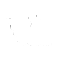 CCCCCCC[CH2][Zn][CH2]CCCCCCC.OP(O)(O)=S.OP(O)(O)=S